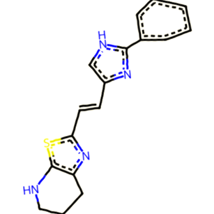 C(=C\c1nc2c(s1)NCCC2)/c1c[nH]c(-c2ccccc2)n1